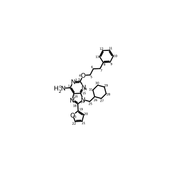 Nc1nc(OCCCc2ccccc2)nc2c1nc(-c1ccco1)n2CC1CCCCC1